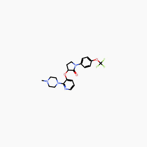 CN1CCN(c2ncccc2OC2CCN(c3ccc(OC(F)(F)F)cc3)C2=O)CC1